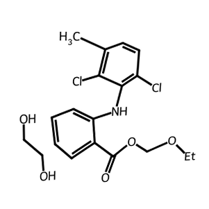 CCOCOC(=O)c1ccccc1Nc1c(Cl)ccc(C)c1Cl.OCCO